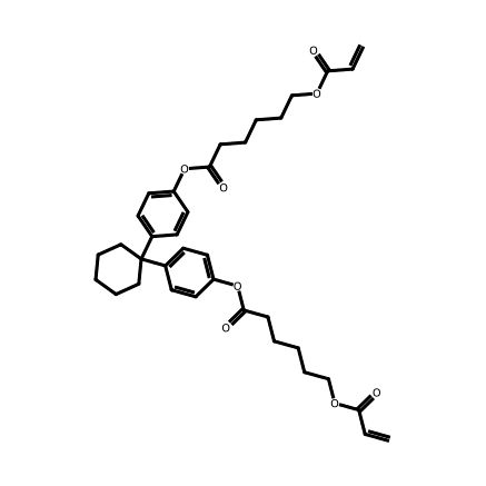 C=CC(=O)OCCCCCC(=O)Oc1ccc(C2(c3ccc(OC(=O)CCCCCOC(=O)C=C)cc3)CCCCC2)cc1